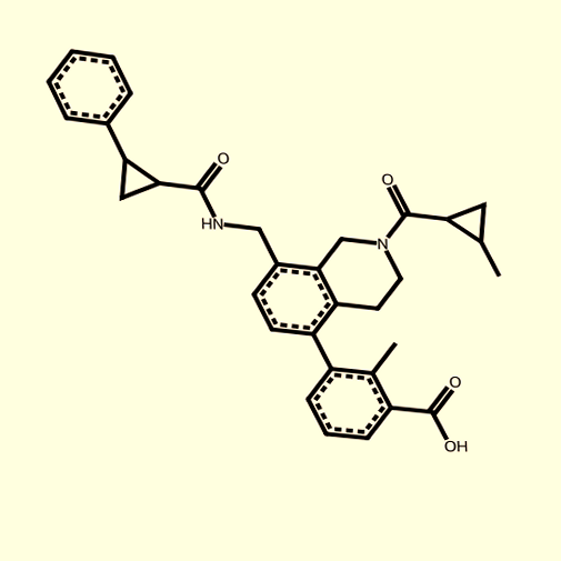 Cc1c(C(=O)O)cccc1-c1ccc(CNC(=O)C2CC2c2ccccc2)c2c1CCN(C(=O)C1CC1C)C2